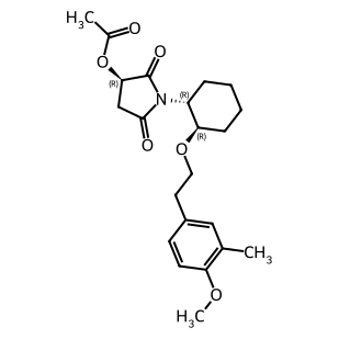 COc1ccc(CCO[C@@H]2CCCC[C@H]2N2C(=O)C[C@@H](OC(C)=O)C2=O)cc1C